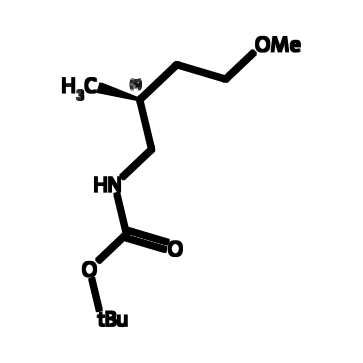 COCC[C@H](C)CNC(=O)OC(C)(C)C